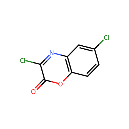 O=c1oc2ccc(Cl)cc2nc1Cl